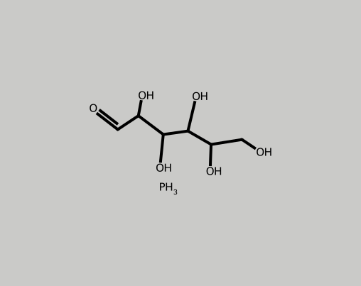 O=CC(O)C(O)C(O)C(O)CO.P